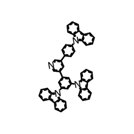 c1ccc2c(c1)c1ccccc1n2-c1ccc(-c2cncc(-c3cc(-n4c5ccccc5c5ccccc54)cc(-n4c5ccccc5c5ccccc54)c3)c2)cc1